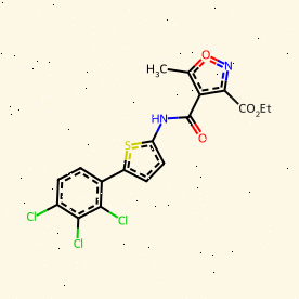 CCOC(=O)c1noc(C)c1C(=O)Nc1ccc(-c2ccc(Cl)c(Cl)c2Cl)s1